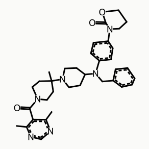 Cc1ncnc(C)c1C(=O)N1CCC(C)(N2CCC(N(Cc3ccccc3)c3ccc(N4CCCOC4=O)cc3)CC2)CC1